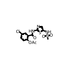 CC(=O)Oc1ccc(Cl)cc1C(=O)Nc1ncc(NS(C)(=O)=O)s1